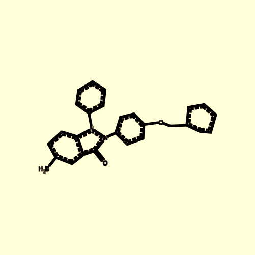 Bc1ccc2c(c1)c(=O)n(-c1ccc(OCc3ccccc3)cc1)n2-c1ccccc1